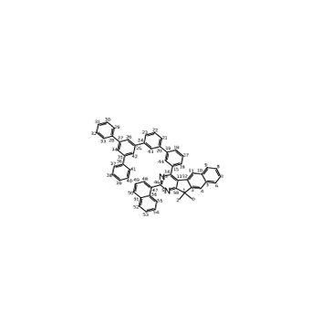 CC1(C)c2cc3ccccc3cc2-c2c(-c3cccc(-c4cccc(-c5cc(-c6ccccc6)cc(-c6ccccc6)c5)c4)c3)nc(-c3cccc4ccccc34)nc21